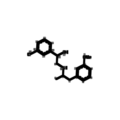 COc1cccc(CC(C)NCC(O)c2cccc(Cl)c2)c1